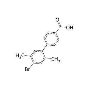 Cc1cc(-c2ccc(C(=O)O)cc2)c(C)cc1Br